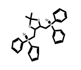 CC1(C)OC(CP(=[Se])(c2ccccc2)c2ccccc2)C(CP(=[Se])(c2ccccc2)c2ccccc2)O1